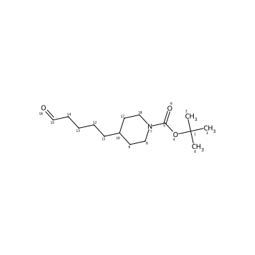 CC(C)(C)OC(=O)N1CCC(CCCCC=O)CC1